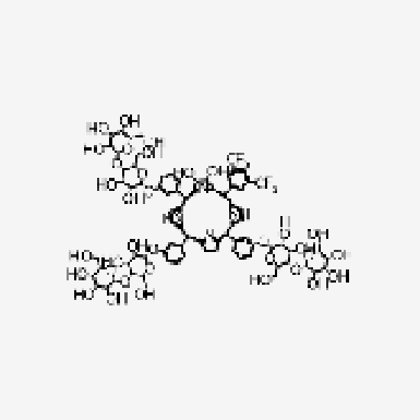 OCC1O[C@@H](Oc2cccc(-c3c4nc(c(-c5cccc(O[C@@H]6OC(CO)[C@@H](O[C@@H]7OC(CO)[C@H](O)[C@H](O)C7O)[C@H](O)C6O)c5)c5ccc([nH]5)c(-c5cc(C(F)(F)F)cc(C(F)(F)F)c5)c5nc(c(-c6cccc(O[C@@H]7OC(CO)[C@@H](O[C@@H]8OC(CO)[C@H](O)[C@H](O)C8O)[C@H](O)C7O)c6)c6ccc3[nH]6)[C@@H](O)[C@H]5O)C=C4)c2)C(O)[C@@H](O)[C@@H]1O[C@@H]1OC(CO)[C@H](O)[C@H](O)C1O